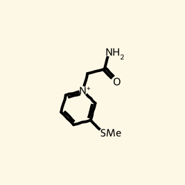 CSc1ccc[n+](CC(N)=O)c1